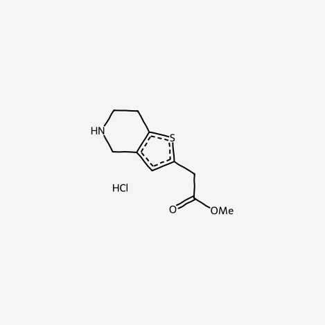 COC(=O)Cc1cc2c(s1)CCNC2.Cl